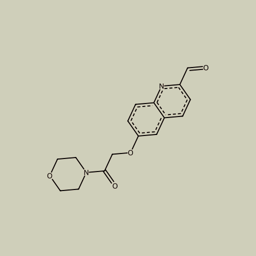 O=Cc1ccc2cc(OCC(=O)N3CCOCC3)ccc2n1